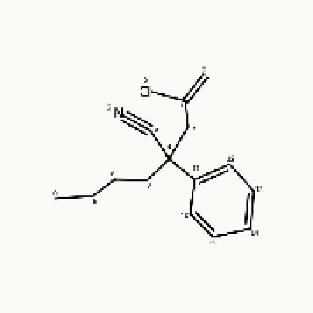 C=C(Cl)CC(C#N)(CCCC)c1ccccc1